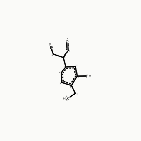 CCc1ccc(C(C=O)CBr)cc1F